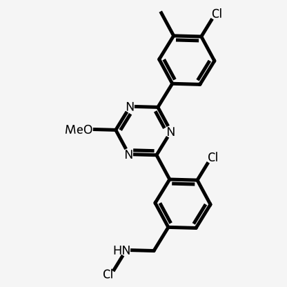 COc1nc(-c2ccc(Cl)c(C)c2)nc(-c2cc(CNCl)ccc2Cl)n1